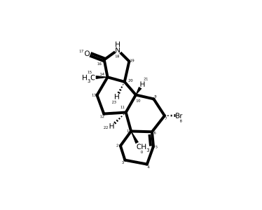 C[C@]12CCCC=C1[C@@H](Br)C[C@@H]1[C@@H]2CC[C@]2(C)C(=O)NC[C@@H]12